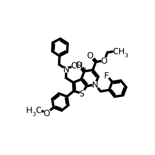 CCOC(=O)c1cn(Cc2ccccc2F)c2sc(-c3ccc(OC)cc3)c(CN(C)Cc3ccccc3)c2c1=O